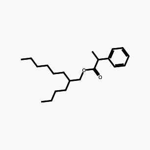 CCCCCCC(CCCC)COC(=O)C(C)c1ccccc1